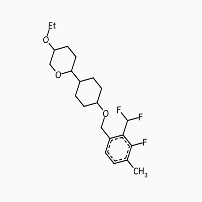 CCOC1CCC(C2CCC(OCc3ccc(C)c(F)c3C(F)F)CC2)OC1